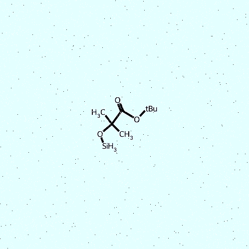 CC(C)(C)OC(=O)C(C)(C)O[SiH3]